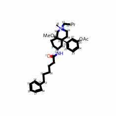 COC12CC[C@@H](NC(=O)CCCCCc3ccccc3)C[C@@]1(c1cccc(OC(C)=O)c1)CC[N@@+](C)(CC(C)C)C2